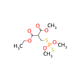 CCOC(=O)C(CSP(=S)(OC)OC)C(=O)OC